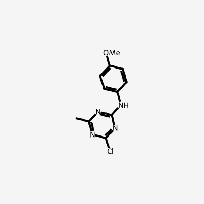 COc1ccc(Nc2nc(C)nc(Cl)n2)cc1